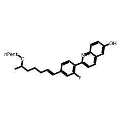 CCCCCOC(C)CCCC=Cc1ccc(-c2ccc3cc(O)ccc3n2)c(F)c1